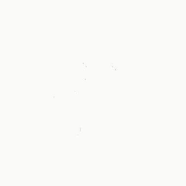 Cn1cnc2c(F)c(I)ccc21